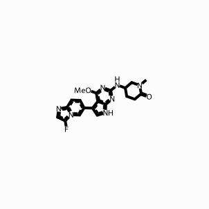 COc1nc(NC2CCC(=O)N(C)C2)nc2[nH]cc(-c3ccc4ncc(F)n4c3)c12